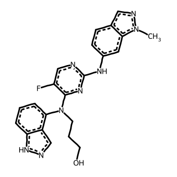 Cn1ncc2ccc(Nc3ncc(F)c(N(CCCO)c4cccc5[nH]ncc45)n3)cc21